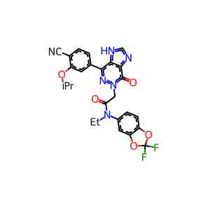 CCN(C(=O)Cn1nc(-c2ccc(C#N)c(OC(C)C)c2)c2[nH]cnc2c1=O)c1ccc2c(c1)OC(F)(F)O2